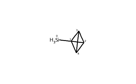 [SiH3]C12C3C1C32